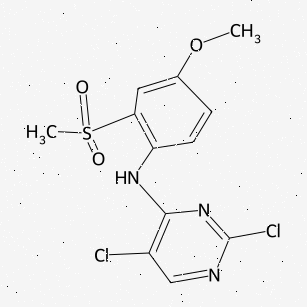 COc1ccc(Nc2nc(Cl)ncc2Cl)c(S(C)(=O)=O)c1